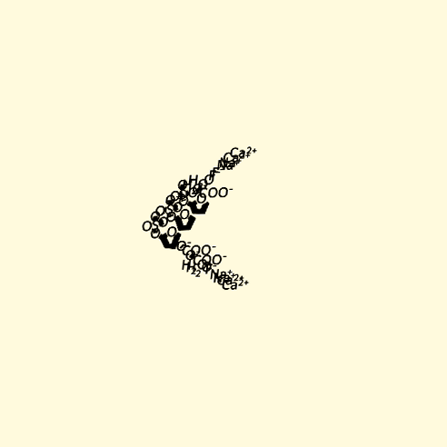 O.O.O.O.O=C([O-])[O-].O=C([O-])[O-].O=C([O-])[O-].O=S(=O)([O-])Oc1ccco1.O=S(=O)([O-])Oc1ccco1.O=S(=O)([O-])Oc1ccco1.[Ca+2].[Ca+2].[Ca+2].[Ca+2].[F-].[F-].[F-].[Na+].[Na+].[Na+].[Na+]